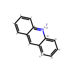 [C+]1=c2cc3ccccc3nc2=CC=C1.[I-]